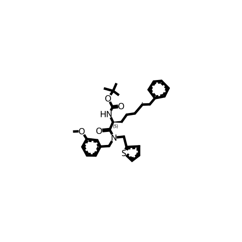 COc1cccc(CN(Cc2cccs2)C(=O)[C@H](CCC[CH]Cc2ccccc2)NC(=O)OC(C)(C)C)c1